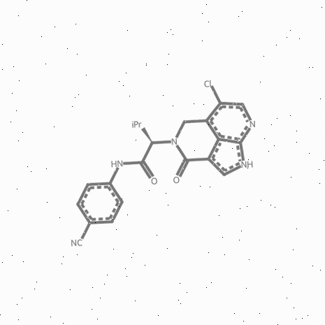 CC(C)[C@H](C(=O)Nc1ccc(C#N)cc1)N1Cc2c(Cl)cnc3[nH]cc(c23)C1=O